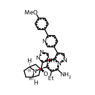 CCc1c([C@H]2C[C@H]3CC[C@@H](C2)N3C(=O)c2nnc[nH]2)nc2c(-c3ccc(-c4ccc(OC)cc4)nc3)cnn2c1N